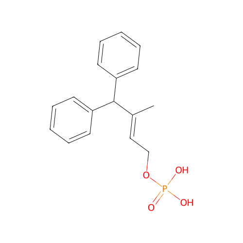 CC(=CCOP(=O)(O)O)C(c1ccccc1)c1ccccc1